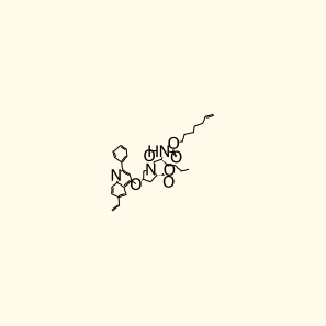 C=CCCCCCOC(=O)N[C@@H](CCCC)C(=O)N1C[C@H](Oc2cc(-c3ccccc3)nc3ccc(C=C)cc23)C[C@H]1C(=O)OC